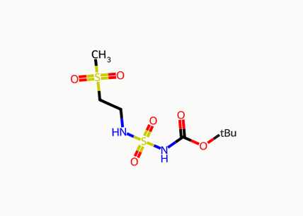 CC(C)(C)OC(=O)NS(=O)(=O)NCCS(C)(=O)=O